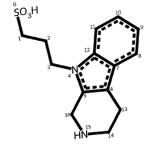 O=S(=O)(O)CCCn1c2c(c3ccccc31)CCNC2